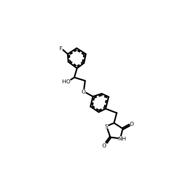 O=C1NC(=O)C(Cc2ccc(OCC(O)c3cccc(F)c3)cc2)S1